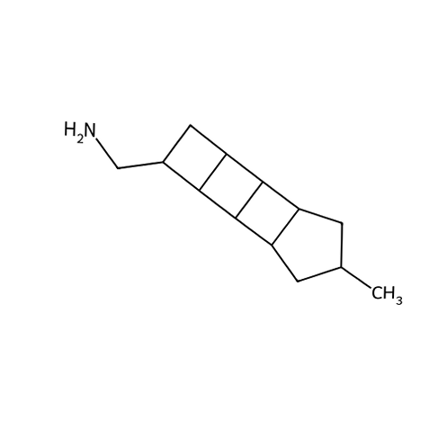 CC1CC2C(C1)C1C3C(CN)CC3C21